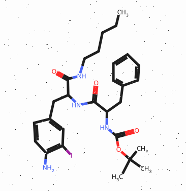 CCCCCNC(=O)C(Cc1ccc(N)c(I)c1)NC(=O)C(Cc1ccccc1)NC(=O)OC(C)(C)C